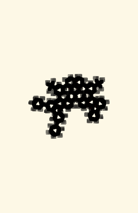 Cc1cc2c3c(c1)N(c1c(-c4ccccc4)cc(C(C)(C)C)cc1-c1ccccc1)c1cc(-n4c5ccc(-c6ccccc6)cc5c5cc(-c6ccccc6)ccc54)ccc1B3c1ccc(-n3c4ccccc4c4ccccc43)cc1N2c1c(-c2ccccc2)cc(C(C)(C)C)cc1-c1ccccc1